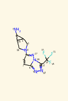 NC1C2CN(c3ccc4nnc(C(F)(F)F)n4n3)CC12